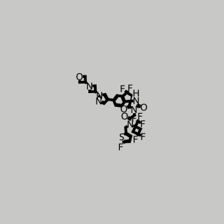 O=C1N[C@]2(CC(F)(F)c3cc(-c4cnn(C5CN(C6COC6)C5)c4)ccc32)C(=O)N1CC(=O)N(Cc1ccc(F)s1)C1(C(F)(F)F)CC(F)(F)C1